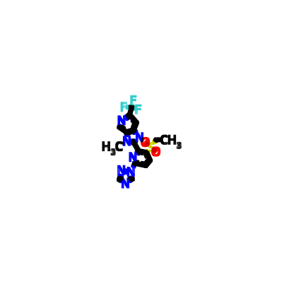 CCS(=O)(=O)c1ccc(-n2cncn2)nc1-c1nc2cc(C(F)(F)F)ncc2n1C